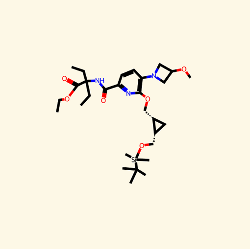 CCOC(=O)C(CC)(CC)NC(=O)c1ccc(N2CC(OC)C2)c(OC[C@@H]2C[C@@H]2CO[Si](C)(C)C(C)(C)C)n1